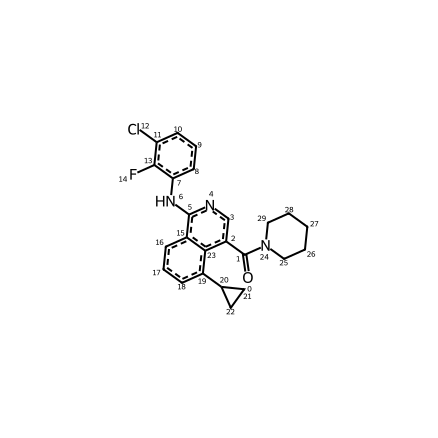 O=C(c1cnc(Nc2cccc(Cl)c2F)c2cccc(C3CC3)c12)N1CCCCC1